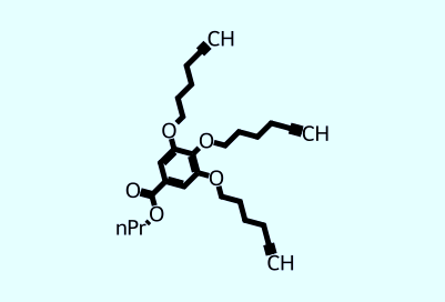 C#CCCCCOc1cc(C(=O)OCCC)cc(OCCCCC#C)c1OCCCCC#C